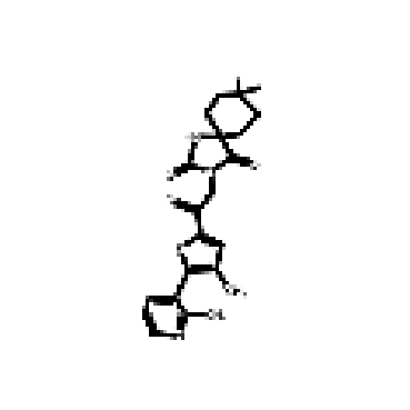 Cc1cc(C(=O)CN2C(=O)NC3(CCC(F)(F)CC3)C2=O)sc1-c1cccnc1C